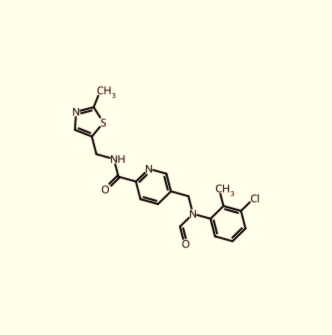 Cc1ncc(CNC(=O)c2ccc(CN(C=O)c3cccc(Cl)c3C)cn2)s1